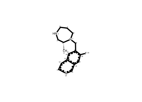 C[C@@H]1CNCCCN1Cc1cc2ccncc2cc1F